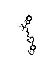 NC(=O)N(CCCCN1CCCN(c2ccc3c(c2)OCCO3)CC1)c1cc2ccccc2o1